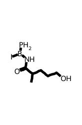 CC(CCCO)C(=O)NB(P)I